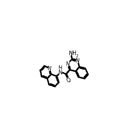 Nc1nc(C(=O)Nc2cccc3cccnc23)c2ccccc2n1